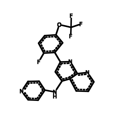 Fc1ccc(OC(F)(F)F)cc1-c1cc(Nc2ccncc2)c2cccnc2n1